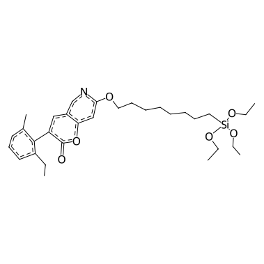 CCO[Si](CCCCCCCCOc1cc2oc(=O)c(-c3c(C)cccc3CC)cc2cn1)(OCC)OCC